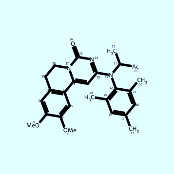 COc1cc2c(cc1OC)-c1cc(N(c3c(C)cc(C)cc3C)C(C)C(C)=O)nc(=O)n1CC2